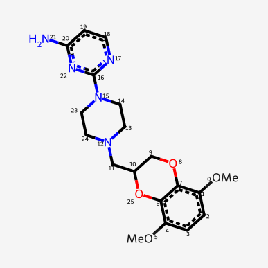 COc1ccc(OC)c2c1OCC(CN1CCN(c3nccc(N)n3)CC1)O2